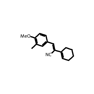 COc1ccc(/C=C(\C#N)C2=CCCCC2)cc1C